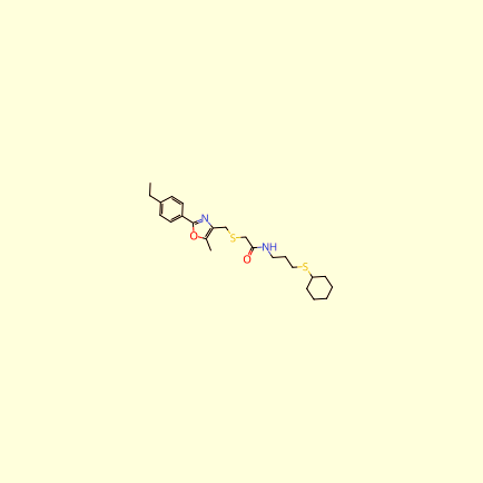 CCc1ccc(-c2nc(CSCC(=O)NCCCSC3CCCCC3)c(C)o2)cc1